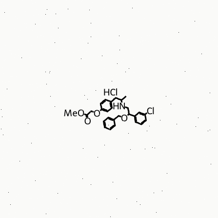 COC(=O)COc1ccc(CC(C)NCC(OCc2ccccc2)c2cccc(Cl)c2)cc1.Cl